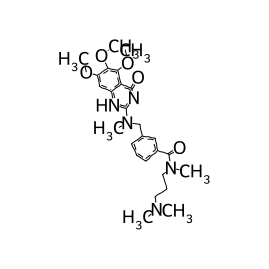 COc1cc2[nH]c(N(C)Cc3cccc(C(=O)N(C)CCCN(C)C)c3)nc(=O)c2c(OC)c1OC